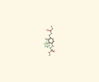 CCC(=O)CCc1ccc(CCC(=O)CC)c(S(F)(F)(F)(F)F)c1C